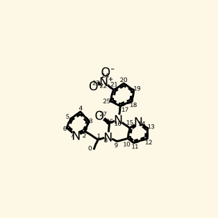 CC(c1ccccn1)N1Cc2cccnc2N(c2cccc([N+](=O)[O-])c2)C1=O